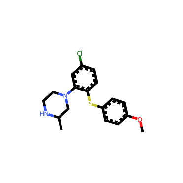 COc1ccc(Sc2ccc(Cl)cc2N2CCNC(C)C2)cc1